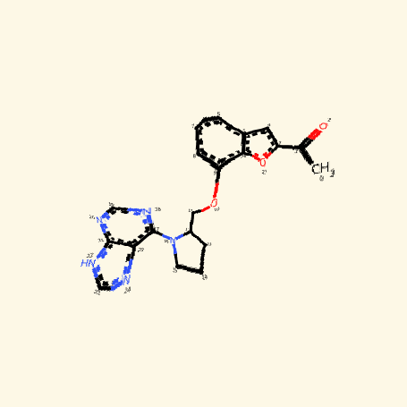 CC(=O)c1cc2cccc(OCC3CCCN3c3ncnc4[nH]cnc34)c2o1